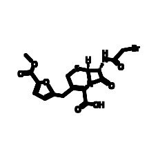 COC(=O)c1ccc(CC2=C(C(=O)O)N3C(=O)[C@@H](NC(=O)CBr)[C@@H]3SC2)o1